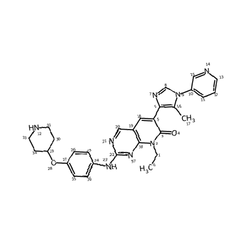 CCn1c(=O)c(-c2ncn(-c3cccnc3)c2C)cc2cnc(Nc3ccc(OC4CCNCC4)cc3)nc21